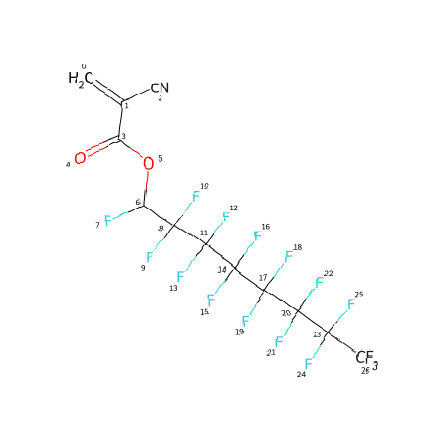 C=C(C#N)C(=O)OC(F)C(F)(F)C(F)(F)C(F)(F)C(F)(F)C(F)(F)C(F)(F)C(F)(F)F